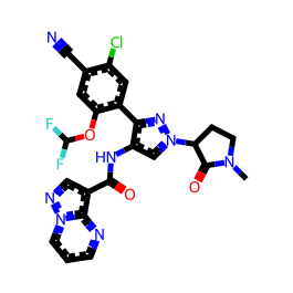 CN1CCC(n2cc(NC(=O)c3cnn4cccnc34)c(-c3cc(Cl)c(C#N)cc3OC(F)F)n2)C1=O